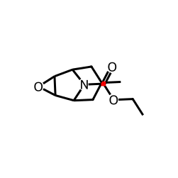 CCOC(=O)N1C2CC(C)CC1C1OC12